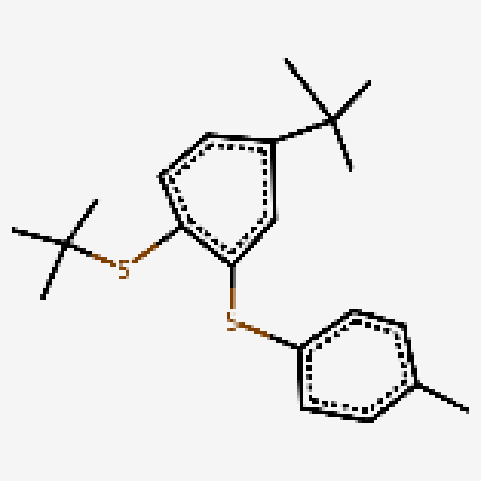 Cc1ccc(Sc2cc(C(C)(C)C)ccc2SC(C)(C)C)cc1